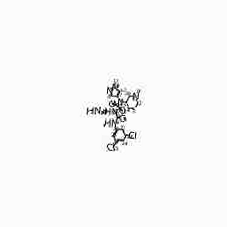 CN1CCCC(N(c2cnn(C)c2)S(=O)(=O)NC(=O)Nc2cc(Cl)cc(Cl)c2)C1.[NaH]